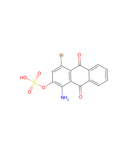 Nc1c(OS(=O)(=O)O)cc(Br)c2c1C(=O)c1ccccc1C2=O